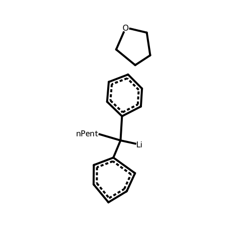 C1CCOC1.[Li][C](CCCCC)(c1ccccc1)c1ccccc1